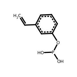 C=Cc1cccc(OP(O)O)c1